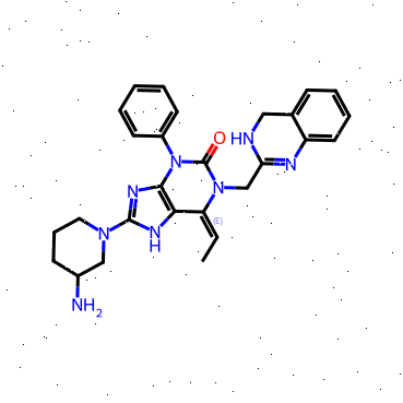 C/C=C1\c2[nH]c(N3CCCC(N)C3)nc2N(c2ccccc2)C(=O)N1CC1=Nc2ccccc2CN1